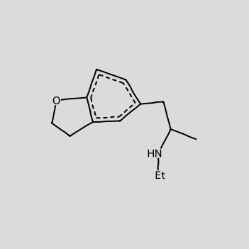 CCNC(C)Cc1ccc2c(c1)CCO2